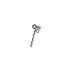 CCCCCCCCCCC(=O)c1ccccc1Br